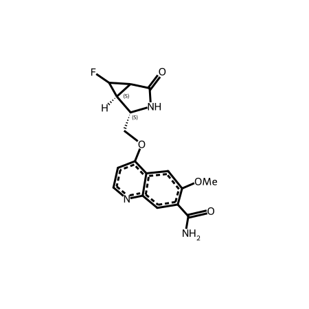 COc1cc2c(OC[C@H]3NC(=O)C4C(F)[C@@H]43)ccnc2cc1C(N)=O